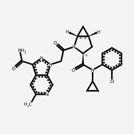 Cc1cc2c(C(N)=O)nn(CC(=O)N3[C@@H]4C[C@@H]4C[C@H]3C(=O)N(c3ccccc3Cl)C3CC3)c2cn1